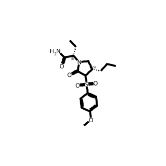 CCC[C@H]1CN([C@@H](CC)C(N)=O)C(=O)C1S(=O)(=O)c1ccc(OC)cc1